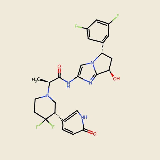 C[C@@H](C(=O)Nc1cn2c(n1)[C@H](O)C[C@H]2c1cc(F)cc(F)c1)N1CCC(F)(F)[C@@H](c2ccc(=O)[nH]c2)C1